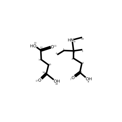 CCC(C)(CCC(=O)O)NC.O=C(O)CCC(=O)O